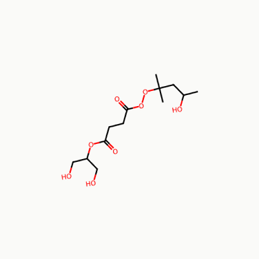 CC(O)CC(C)(C)OOC(=O)CCC(=O)OC(CO)CO